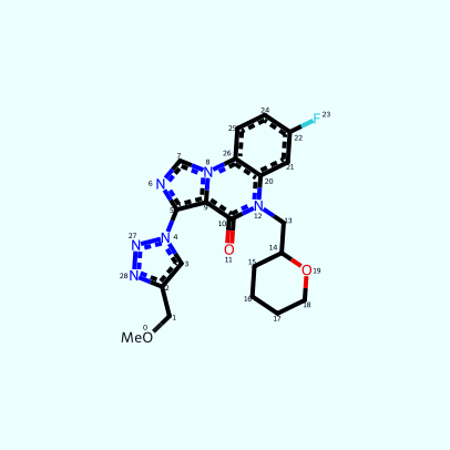 COCc1cn(-c2ncn3c2c(=O)n(CC2CCCCO2)c2cc(F)ccc23)nn1